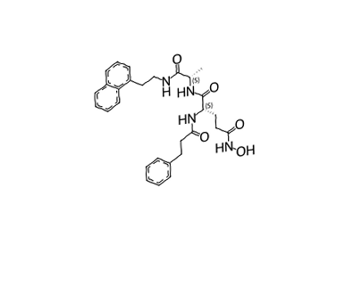 C[C@H](NC(=O)[C@H](CCC(=O)NO)NC(=O)CCc1ccccc1)C(=O)NCCc1cccc2ccccc12